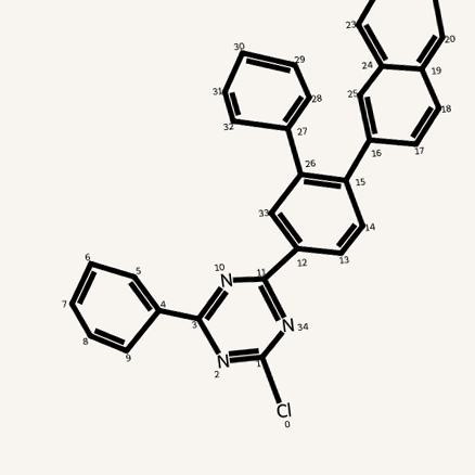 Clc1nc(-c2ccccc2)nc(-c2ccc(-c3ccc4ccccc4c3)c(-c3ccccc3)c2)n1